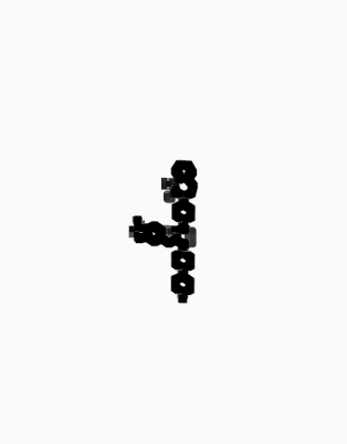 CN1CCC(N2CCN(C(=O)C(Cc3ccc4c(cnn4C)c3)NC(=O)N3CCC(N4CCc5ccccc5NC4=O)CC3)CC2)CC1